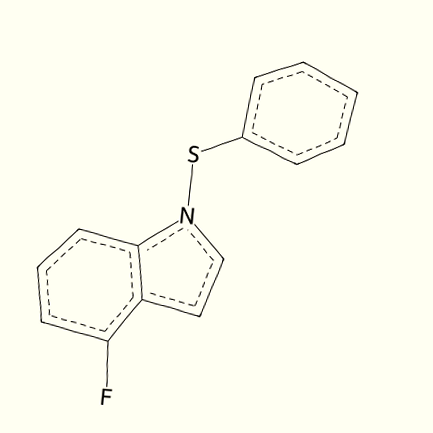 Fc1cccc2c1ccn2Sc1ccccc1